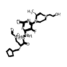 C[C@H]1CN(CCO)CCN1c1nc(Cl)nc(NNC(=O)[C@H](CC2CCCC2)CN(O)C=O)c1F